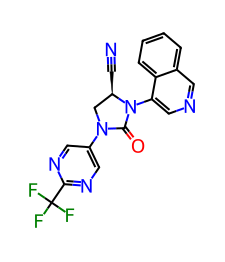 N#C[C@@H]1CN(c2cnc(C(F)(F)F)nc2)C(=O)N1c1cncc2ccccc12